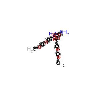 C=CCCOC1CCC(COc2ccc(C=CC(=O)CC(c3ccc(N)cc3N)C(O)(O)C(=O)C=Cc3ccc(OCC4CCC(OCCC=C)CC4)cc3)cc2)CC1